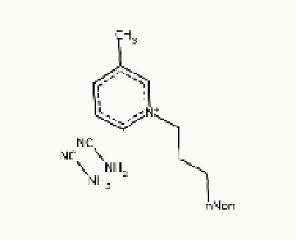 CCCCCCCCCCCC[n+]1cccc(C)c1.N#CN.N#CN